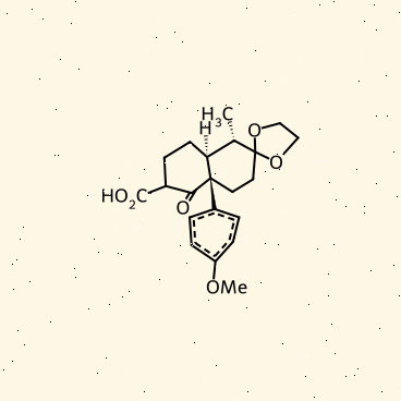 COc1ccc([C@]23CCC4(OCCO4)[C@@H](C)[C@@H]2CCC(C(=O)O)C3=O)cc1